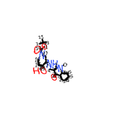 Cn1cc(CN[C@@H]2CN(C(=O)OC(C)(C)C)CC[C@H]2O)c(=O)c2ccccc21